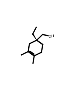 CC[C@@]1(CO)CCC(C)=C(C)C1